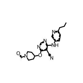 CCCc1ccc(Nc2ncnc(OC3CCN([C]=O)CC3)c2C#N)cn1